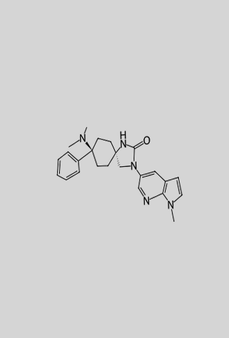 Cn1ccc2cc(N3C[C@]4(CC[C@](c5ccccc5)(N(C)C)CC4)NC3=O)cnc21